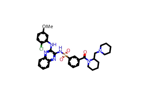 COc1ccc(Cl)c(Nc2nc3ccccc3nc2NS(=O)(=O)c2cccc(C(=O)N3CCCCC3CN3CCCCC3)c2)c1